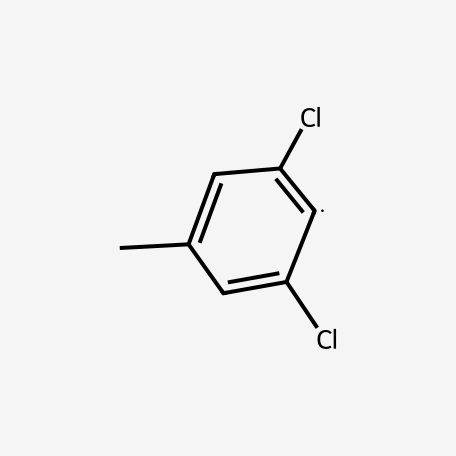 Cc1cc(Cl)[c]c(Cl)c1